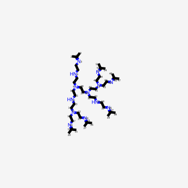 CC(C)=NCCNCCN(CCNCCN(CCN=C(C)C)CCN=C(C)C)CCN(CCNCCN=C(C)C)CCN(CCN=C(C)C)CCN=C(C)C